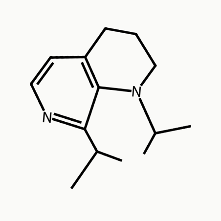 CC(C)c1nccc2c1N(C(C)C)CCC2